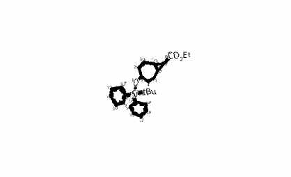 CCOC(=O)C1C2CCC(O[Si](c3ccccc3)(c3ccccc3)C(C)(C)C)CCC21